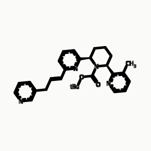 Cc1cccnc1[C@@H]1CCC[C@H](c2cccc(/C=C/Cc3cccnc3)n2)N1C(=O)OC(C)(C)C